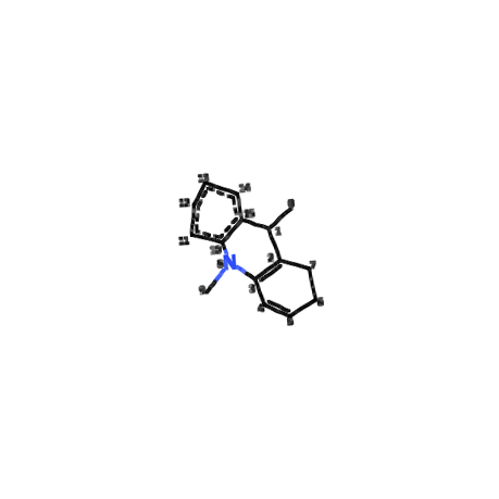 CC1C2=C(C=CCC2)N(C)c2ccccc21